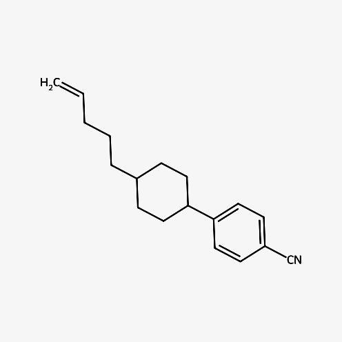 C=CCCCC1CCC(c2ccc(C#N)cc2)CC1